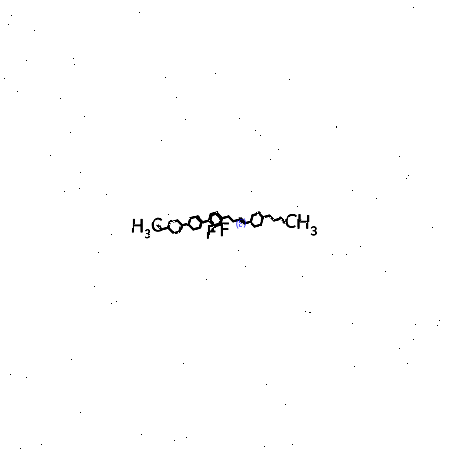 CCCCCC1CCC(/C=C/CCc2ccc(C3=CCC(C4CCC(CC)CC4)CC3)c(F)c2F)CC1